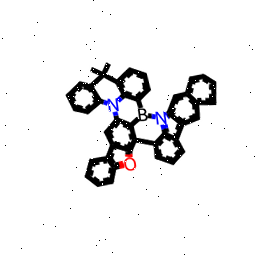 CC1(C)c2ccccc2N2c3cc4c(oc5ccccc54)c4c3B(c3cccc1c32)n1c2cc3ccccc3cc2c2cccc-4c21